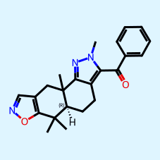 Cn1nc2c(c1C(=O)c1ccccc1)CC[C@H]1C(C)(C)c3oncc3CC21C